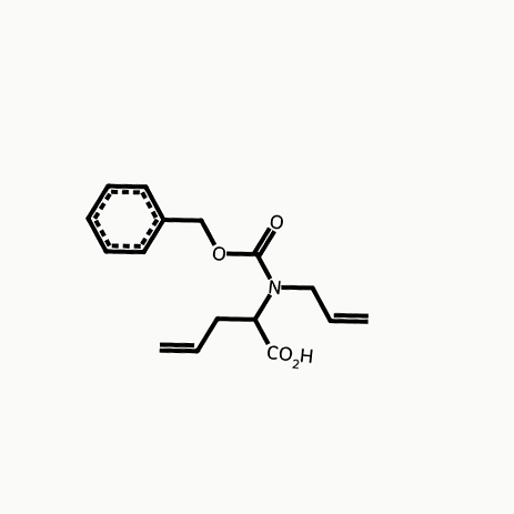 C=CCC(C(=O)O)N(CC=C)C(=O)OCc1ccccc1